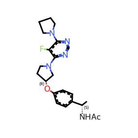 CC(=O)N[C@@H](C)c1ccc(O[C@@H]2CCN(c3ncnc(N4CCCC4)c3F)C2)cc1